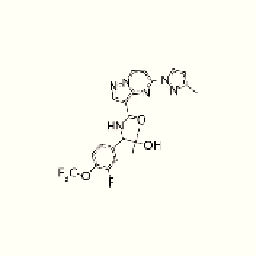 Cc1ccn(-c2ccn3ncc(C(=O)NC(c4ccc(OC(F)(F)F)c(F)c4)C(C)(C)O)c3n2)n1